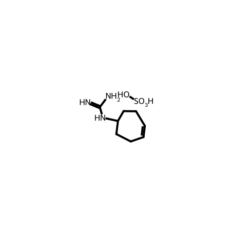 N=C(N)NC1CCC=CCC1.O=S(=O)(O)O